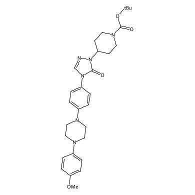 COc1ccc(N2CCN(c3ccc(-n4cnn(C5CCN(C(=O)OC(C)(C)C)CC5)c4=O)cc3)CC2)cc1